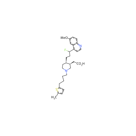 COc1ccc2nccc(C(F)CC[C@@H]3CCN(CCCCc4ccc(C)s4)C[C@@H]3CC(=O)O)c2c1